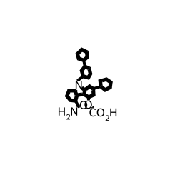 NC(=O)c1cccc2c1c1c(OCC(=O)O)cc(-c3ccccc3)cc1n2Cc1cccc(-c2ccccc2)c1